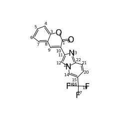 O=c1oc2ccccc2cc1-c1cn2cc(C(F)(F)F)ccc2n1